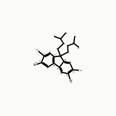 CC(C)CCC1(CCC(C)C)c2cc(I)c(Br)cc2-c2cc(Br)c(I)cc21